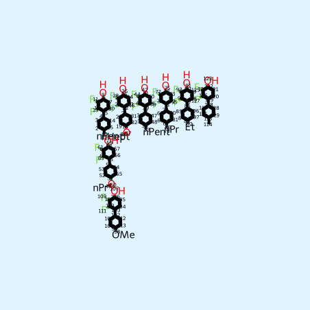 CCCCCCCc1ccc(-c2ccc(O)c(F)c2F)cc1.CCCCCOc1ccc(-c2ccc(O)c(F)c2F)cc1.CCCCCc1ccc(-c2ccc(O)c(F)c2F)cc1.CCCOc1ccc(-c2ccc(O)c(F)c2F)cc1.CCCc1ccc(-c2ccc(O)c(F)c2F)cc1.CCc1ccc(-c2ccc(O)c(F)c2F)cc1.COc1ccc(-c2ccc(O)c(F)c2F)cc1.Cc1ccc(-c2ccc(O)c(F)c2F)cc1